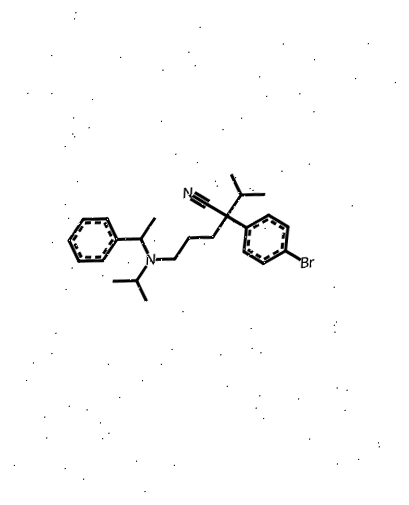 CC(C)N(CCCC(C#N)(c1ccc(Br)cc1)C(C)C)C(C)c1ccccc1